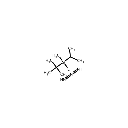 N=[N+]=N.[Li][Si](C)(C(C)C)C(C)(C)C